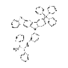 NC(c1ccccc1)[C@H](/N=C/c1cccc(-n2c3ccc([Si](c4ccccc4)(c4ccccc4)c4ccccc4)cc3c3cc4oc5ccccc5c4cc32)c1)c1ccccc1